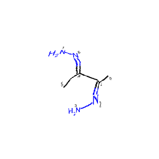 CC(=NN)C(C)=NN